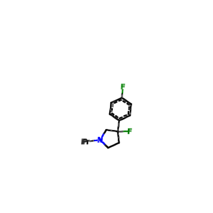 CC(C)N1CCC(F)(c2ccc(F)cc2)C1